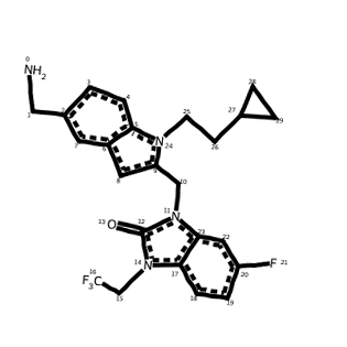 NCc1ccc2c(c1)cc(Cn1c(=O)n(CC(F)(F)F)c3ccc(F)cc31)n2CCC1CC1